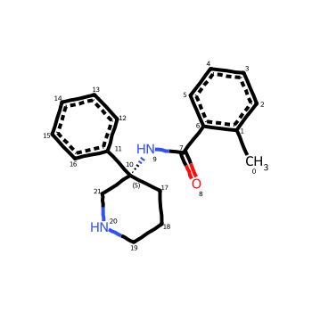 Cc1ccccc1C(=O)N[C@]1(c2ccccc2)CCCNC1